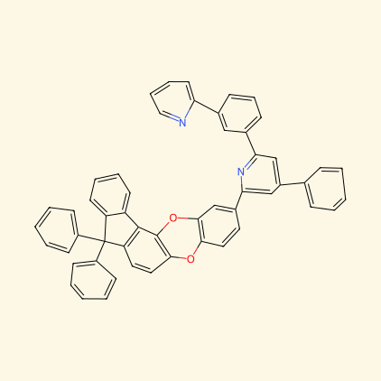 c1ccc(-c2cc(-c3cccc(-c4ccccn4)c3)nc(-c3ccc4c(c3)Oc3c(ccc5c3-c3ccccc3C5(c3ccccc3)c3ccccc3)O4)c2)cc1